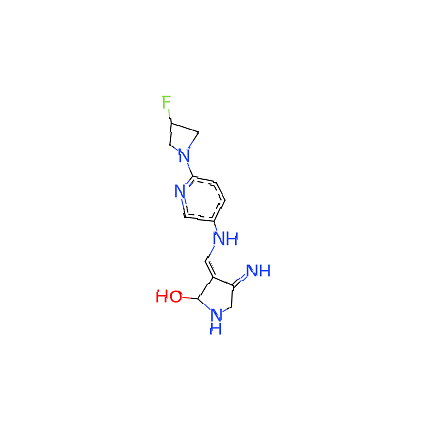 N=C1CNC(O)/C1=C/Nc1ccc(N2CC(F)C2)nc1